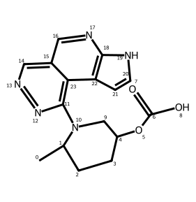 CC1CCC(OC(=O)O)CN1c1nncc2cnc3[nH]ccc3c12